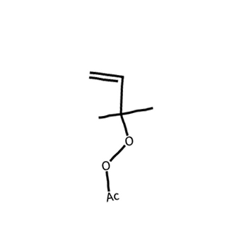 C=CC(C)(C)OOC(C)=O